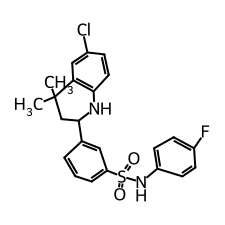 CC1(C)CC(c2cccc(S(=O)(=O)Nc3ccc(F)cc3)c2)Nc2ccc(Cl)cc21